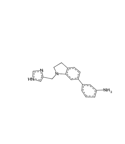 Nc1cccc(-c2ccc3c(c2)N(Cc2c[nH]cn2)CC3)c1